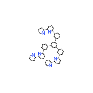 c1ccc(-c2cccc(-c3cccc(-c4cc(-c5cccc(-c6cccc(-c7ccccn7)n6)c5)cc(-c5cccc(-c6cccc(-c7ccccn7)n6)c5)c4)c3)n2)nc1